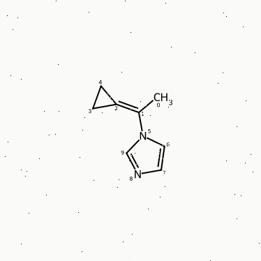 CC(=C1CC1)n1ccnc1